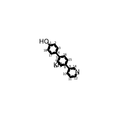 Oc1ccc(-c2ccc(-c3cccnc3)cc2)cc1.[KH]